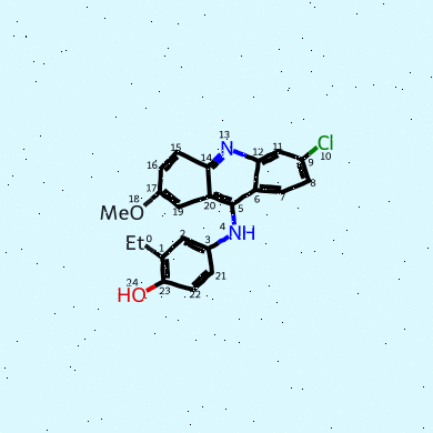 CCc1cc(Nc2c3ccc(Cl)cc3nc3ccc(OC)cc23)ccc1O